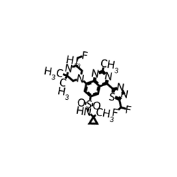 Cc1nc(-c2nnc(C(F)F)s2)c2cc(S(=O)(=O)NC3(C)CC3)cc(N3C[C@H](CF)NC(C)(C)C3)c2n1